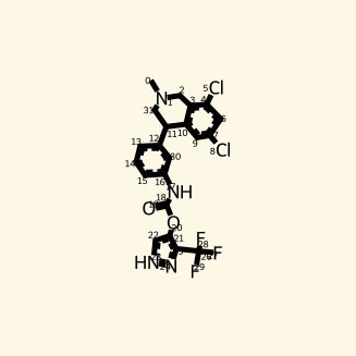 CN1Cc2c(Cl)cc(Cl)cc2C(c2cccc(NC(=O)Oc3c[nH]nc3C(F)(F)F)c2)C1